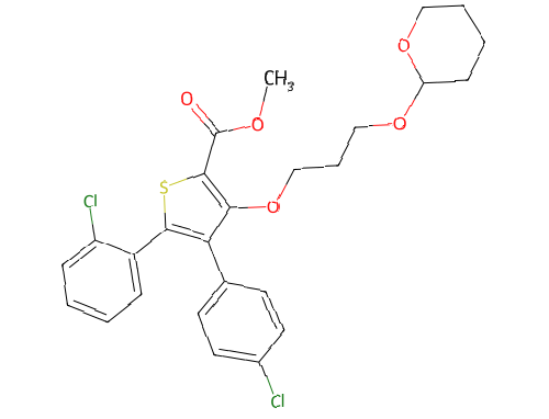 COC(=O)c1sc(-c2ccccc2Cl)c(-c2ccc(Cl)cc2)c1OCCCOC1CCCCO1